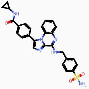 NS(=O)(=O)c1ccc(CNc2nc3ccccc3n3c(-c4ccc(C(=O)NC5CC5)cc4)cnc23)cc1